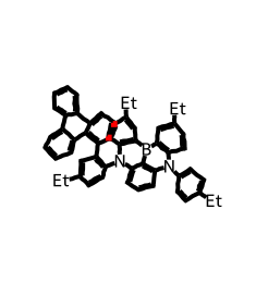 CCc1ccc(N2c3ccc(CC)cc3B3c4cc(CC)ccc4N(c4ccc(CC)cc4-c4cccc5c6ccccc6c6ccccc6c45)c4cccc2c43)cc1